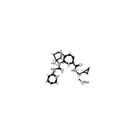 COC[C@H](NC(=O)c1ccc2c(n1)N(C(=O)Nc1ccccn1)[C@H]1CCN2C1)C1CC1